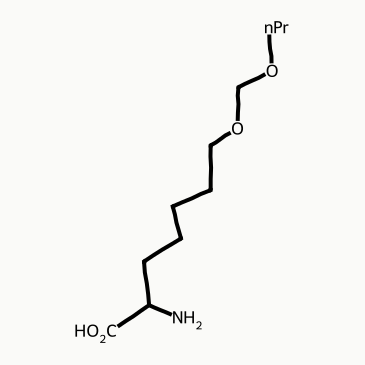 CCCOCOCCCCCC(N)C(=O)O